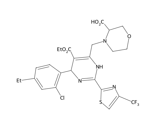 CCOC(=O)C1=C(CN2CCOCC2C(=O)O)NC(c2nc(C(F)(F)F)cs2)=NC1c1ccc(CC)cc1Cl